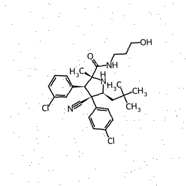 CC(C)(C)C[C@@H]1N[C@@](C)(C(=O)NCCCO)[C@H](c2cccc(Cl)c2)[C@@]1(C#N)c1ccc(Cl)cc1